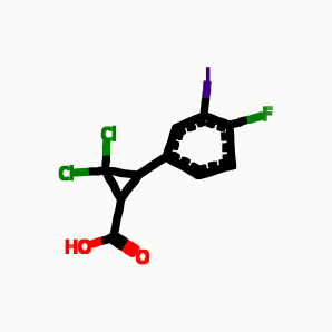 O=C(O)C1C(c2ccc(F)c(I)c2)C1(Cl)Cl